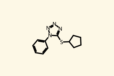 c1ccc(-n2nnnc2SC2CCCC2)cc1